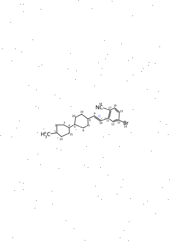 CC1CCC(C2CCC(/C=C/c3cc(Br)ccc3C#N)CC2)CC1